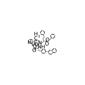 CC(C)CN(CC(CCc1ccccc1)C(=O)OCc1ccccc1)C(=O)N[C@@H](Cc1ccc(-c2ccc3ccccc3c2)cc1)C(=O)OCc1ccccc1